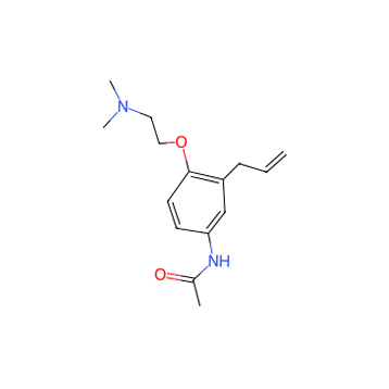 C=CCc1cc(NC(C)=O)ccc1OCCN(C)C